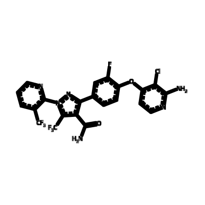 NC(=O)c1c(-c2ccc(Oc3ccnc(N)c3Cl)c(F)c2)nn(-c2ncccc2C(F)(F)F)c1C(F)(F)F